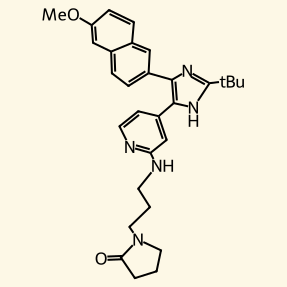 COc1ccc2cc(-c3nc(C(C)(C)C)[nH]c3-c3ccnc(NCCCN4CCCC4=O)c3)ccc2c1